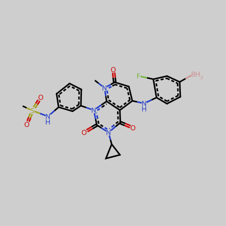 Bc1ccc(Nc2cc(=O)n(C)c3c2c(=O)n(C2CC2)c(=O)n3-c2cccc(NS(C)(=O)=O)c2)c(F)c1